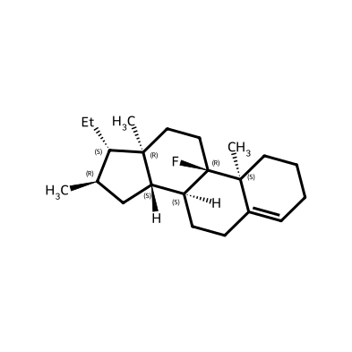 CC[C@H]1[C@H](C)C[C@H]2[C@@H]3CCC4=CCCC[C@]4(C)[C@@]3(F)CC[C@]12C